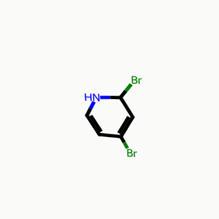 Br[C]1C=C(Br)C=CN1